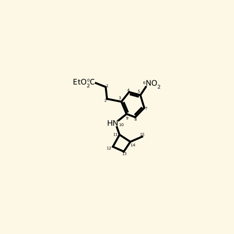 CCOC(=O)CCc1cc([N+](=O)[O-])ccc1NC1CCC1C